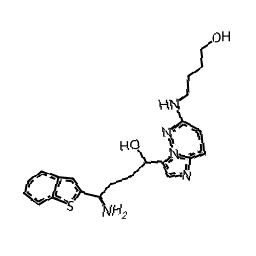 NC(CCC(O)c1cnc2ccc(NCCCCO)nn12)c1cc2ccccc2s1